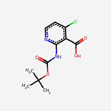 CC(C)(C)OC(=O)Nc1nccc(Cl)c1C(=O)O